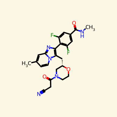 CNC(=O)c1cc(F)c(-c2nc3cc(C)ccn3c2C[C@H]2CN(C(=O)CC#N)CCO2)c(F)c1